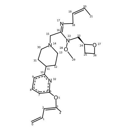 C=CC=C(C)Oc1cccc(C2CCN(C/C(=N/C/C=C\C)N(C[C@@H]3CCO3)OC)CC2)n1